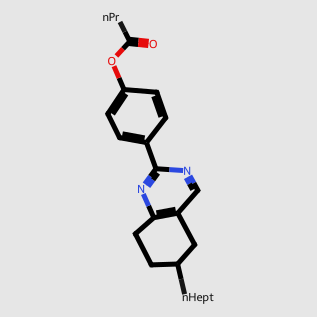 CCCCCCCC1CCc2nc(-c3ccc(OC(=O)CCC)cc3)ncc2C1